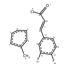 Cc1ccccc1.O=C(Cl)/C=C/c1ccc(F)c(F)c1